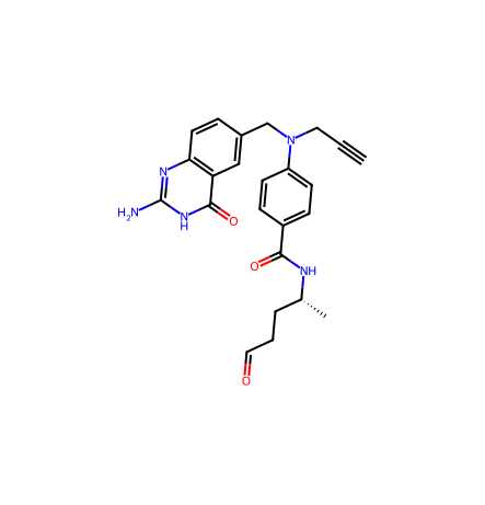 C#CCN(Cc1ccc2nc(N)[nH]c(=O)c2c1)c1ccc(C(=O)N[C@H](C)CCC=O)cc1